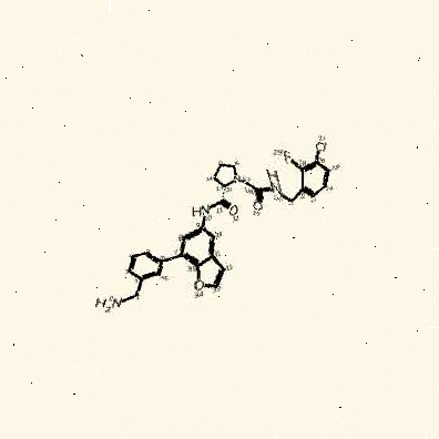 NCc1cccc(-c2cc(NC(=O)[C@@H]3CCCN3C(=O)NCc3cccc(Cl)c3F)cc3ccoc23)c1